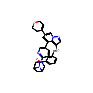 COc1cccc(C(=O)N2C3CC2CN(c2ccc(-c4cc(C5=CCOCC5)cn5ncc(C#N)c45)cn2)C3)c1